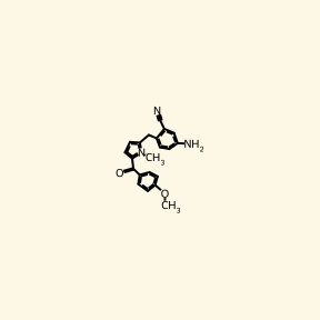 COc1ccc(C(=O)c2ccc(Cc3ccc(N)cc3C#N)n2C)cc1